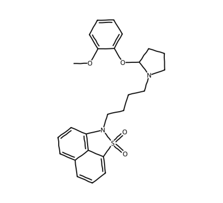 COc1ccccc1OC1CCCN1CCCCN1c2cccc3cccc(c23)S1(=O)=O